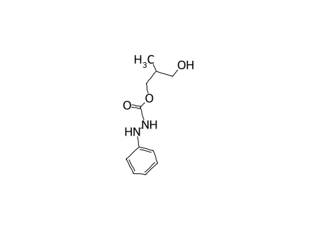 CC(CO)COC(=O)NNc1ccccc1